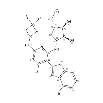 Cc1nc(NC2CC(F)(F)C2)nc(N[C@@H]2C[C@H](CO)[C@@H](O)[C@H]2O)c1-c1nc2c(C)nccc2s1